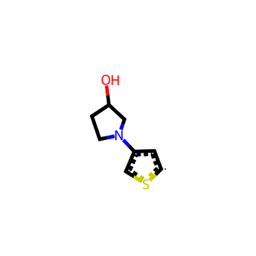 OC1CCN(c2c[c]sc2)C1